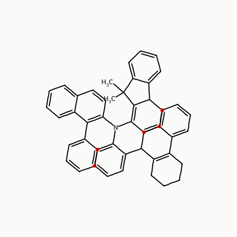 CC1(C)C2=C(N(c3ccccc3C3Cc4ccccc4C4=C3CCCC4)c3ccc4ccccc4c3-c3ccccc3)C=CCC2c2ccccc21